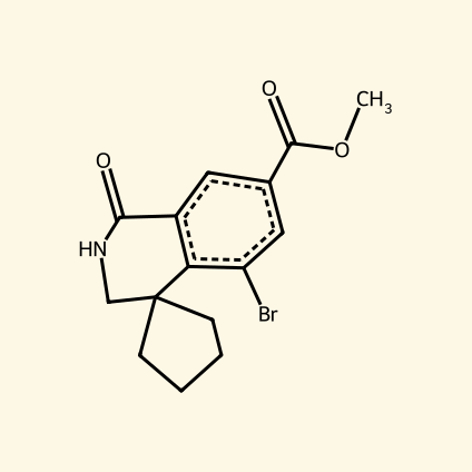 COC(=O)c1cc(Br)c2c(c1)C(=O)NCC21CCCC1